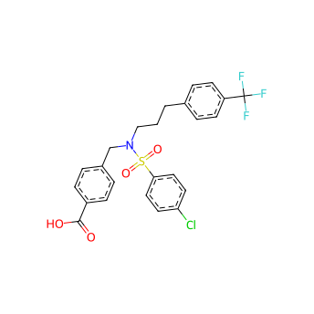 O=C(O)c1ccc(CN(CCCc2ccc(C(F)(F)F)cc2)S(=O)(=O)c2ccc(Cl)cc2)cc1